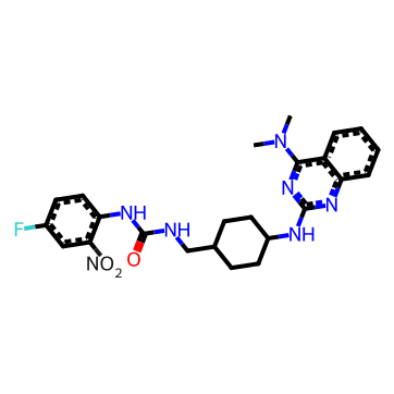 CN(C)c1nc(NC2CCC(CNC(=O)Nc3ccc(F)cc3[N+](=O)[O-])CC2)nc2ccccc12